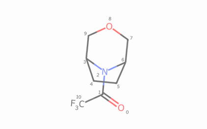 O=C(N1C2CCC1COC2)C(F)(F)F